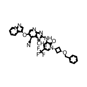 Cn1c(Nc2cc(C(F)(F)F)cn([C@H]3C[C@@H](OCc4ccccc4)C3)c2=O)nc2ncc(Oc3cnn4ccccc34)c(C#N)c21